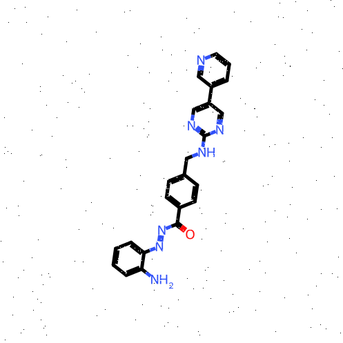 Nc1ccccc1N=NC(=O)c1ccc(CNc2ncc(-c3cccnc3)cn2)cc1